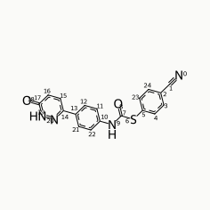 N#Cc1ccc(SC(=O)Nc2ccc(-c3ccc(=O)[nH]n3)cc2)cc1